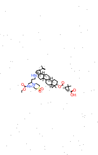 C=C(C)[C@@H]1CC[C@]2(NCCC(CNC(=O)OCC)N3CCS(=O)(=O)CC3)CC[C@]3(C)[C@H](CC[C@@H]4[C@@]5(C)CC[C@H](OC(=O)[C@H]6C[C@@H](C(=O)O)C6(C)C)C(C)(C)[C@@H]5CC[C@]43C)[C@@H]12